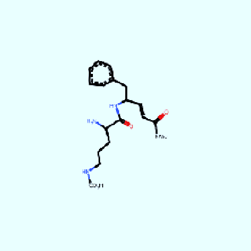 CNC(=O)C=CC(Cc1ccccc1)NC(=O)C(N)CCCNC(=O)O